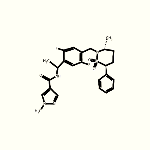 CC(NC(=O)c1cnn(C)c1)c1cc(F)c(CN2[C@H](C)CC[C@@H](c3ccccc3)S2(=O)=O)cc1F